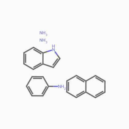 N.N.Nc1ccccc1.c1ccc2[nH]ccc2c1.c1ccc2ccccc2c1